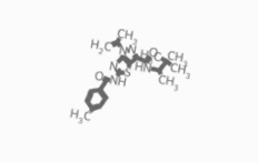 C=C(C)n1nc(C(=O)NC(C)C(C)(C)C)c2sc(NC(=O)c3ccc(C)cc3)nc21